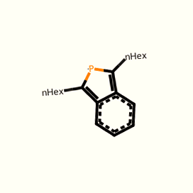 CCCCCCC1=c2ccccc2=C(CCCCCC)[P]1